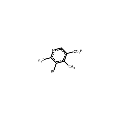 Cc1ncc(C(=O)O)c(C)c1Br